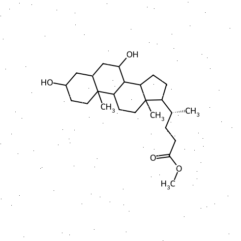 COC(=O)CC[C@@H](C)C1CCC2C3C(O)CC4CC(O)CCC4(C)C3CCC21C